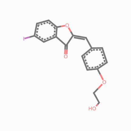 O=C1C(=Cc2ccc(OCCO)cc2)Oc2ccc(I)cc21